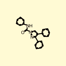 O=C(Nc1ccccc1)n1cc(-c2ccccc2)c(-c2ccccc2)n1